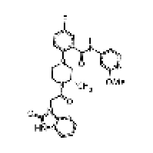 COc1cc(NC(=O)c2cc(F)ccc2N2CCN(C(=O)Cn3c(=O)[nH]c4ccccc43)[C@@H](C)C2)ccn1